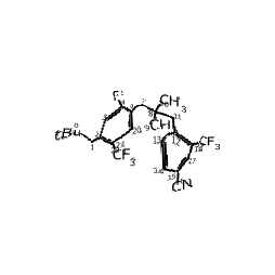 CC(C)(C)Cc1cc(F)c(CC(C)(C)Cc2ccc(C#N)cc2C(F)(F)F)cc1C(F)(F)F